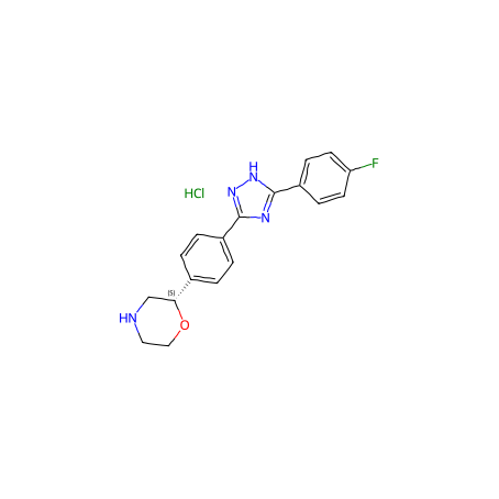 Cl.Fc1ccc(-c2nc(-c3ccc([C@H]4CNCCO4)cc3)n[nH]2)cc1